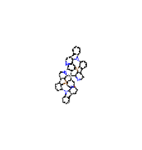 c1ccc([Si](c2ccccc2)(c2nccc3c2sc2c(-n4c5ccccc5c5ccncc54)cccc23)c2nccc3c2sc2c(-n4c5ccccc5c5cccnc54)cccc23)cc1